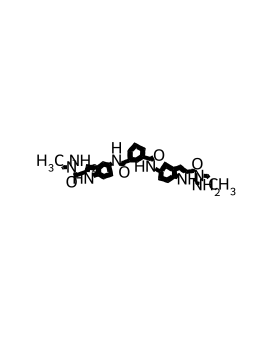 CCN(N)C(=O)c1cc2cc(NC(=O)c3cccc(C(=O)Nc4ccc5[nH]c(C(=O)N(N)CC)cc5c4)c3)ccc2[nH]1